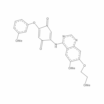 COCCOc1cc2ncnc(NC3=CC(=O)C(Oc4cccc(OC)c4)=CC3=O)c2cc1OC